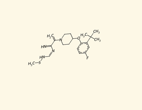 C=C(C(=N)/N=C\NSC)N1CCC(Oc2ccc(F)cc2C(C)(C)C)CC1